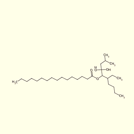 CCCCCCCCCCCCCCCC(=O)OC(C(CC)CCCC)C(O)(O)CC(C)C